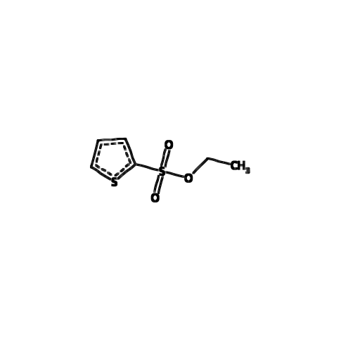 CCOS(=O)(=O)c1cccs1